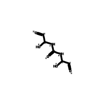 O=CC(O)NC(=O)NC(O)C=O